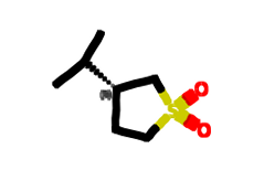 CC(C)[C@H]1CCS(=O)(=O)C1